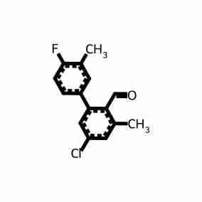 Cc1cc(-c2cc(Cl)cc(C)c2C=O)ccc1F